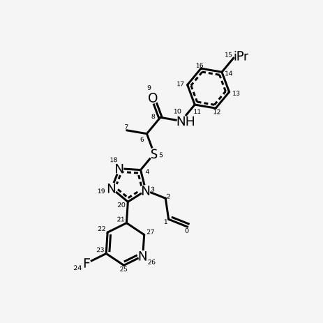 C=CCn1c(SC(C)C(=O)Nc2ccc(C(C)C)cc2)nnc1C1C=C(F)C=NC1